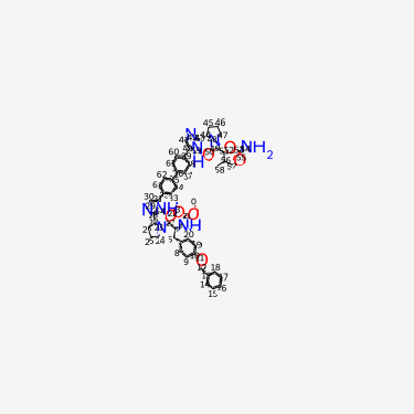 COC(=O)N[C@@H](Cc1ccc(OCc2ccccc2)cc1)C(=O)N1CCC[C@H]1c1ncc(-c2ccc(-c3ccc(-c4cnc([C@@H]5CCCN5C(=O)[C@@H](OC(N)=O)C(C)C)[nH]4)cc3)cc2)[nH]1